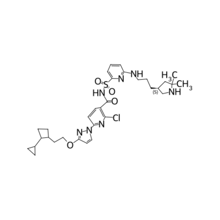 CC1(C)C[C@H](CCCNc2cccc(S(=O)(=O)NC(=O)c3ccc(-n4ccc(OCCC5CCC5C5CC5)n4)nc3Cl)n2)CN1